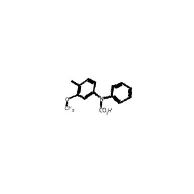 Cc1ccc(N(C(=O)O)c2ccccc2)cc1OC(F)(F)F